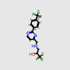 OC(CNCc1ccnc(-c2ccc(C(F)(F)F)cc2)n1)C(F)(F)F